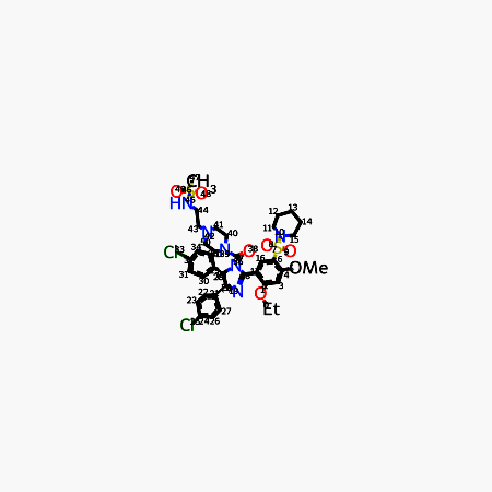 CCOc1cc(OC)c(S(=O)(=O)N2CCCCC2)cc1C1=N[C@@H](c2ccc(Cl)cc2)[C@@H](c2ccc(Cl)cc2)N1C(=O)N1CCN(CCNS(C)(=O)=O)CC1